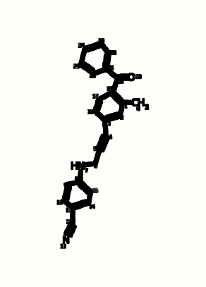 Cc1cc(C#CCNc2ccc(C#N)cc2)ccc1C(=O)c1ccccc1